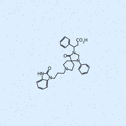 O=C(O)CC(c1ccccc1)N1CN(c2ccccc2)C2(CCN(CCCn3c(=O)[nH]c4ccccc43)CC2)C1=O